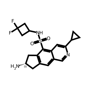 N[C@H]1Cc2cc3cnc(C4CC4)cc3c(S(=O)(=O)NC3CC(F)(F)C3)c2C1